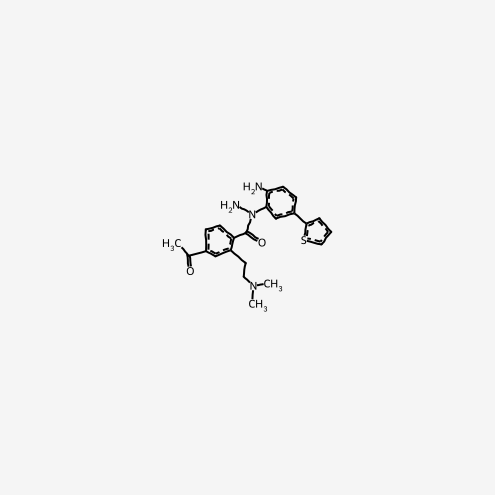 CC(=O)c1ccc(C(=O)N(N)c2cc(-c3cccs3)ccc2N)c(CCN(C)C)c1